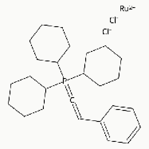 C(=Cc1ccccc1)=P(C1CCCCC1)(C1CCCCC1)C1CCCCC1.[Cl-].[Cl-].[Ru+2]